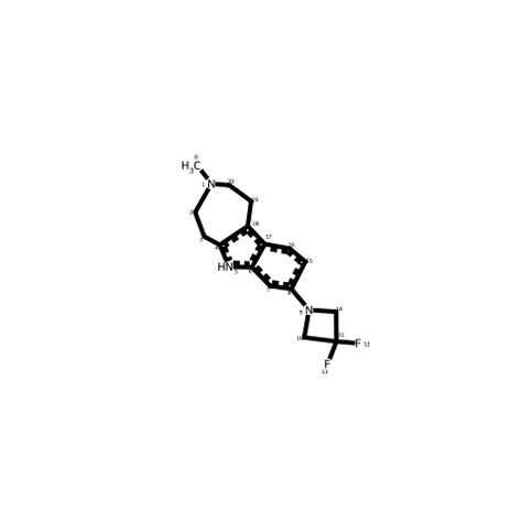 CN1CCc2[nH]c3cc(N4CC(F)(F)C4)ccc3c2CC1